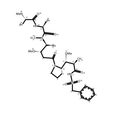 CC[C@H](C)[C@@H]([C@H](CC(=O)N1CCC[C@H]1[C@H](OC)[C@@H](C)C(=O)NS(=O)(=O)Cc1ccccc1)OC)N(C)C(=O)[C@@H](NC(=O)[C@@H](NC)C(C)C)C(C)C